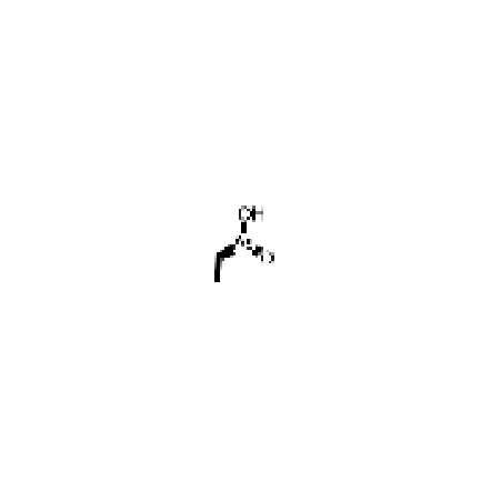 C/C=[As](=O)/O